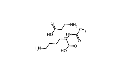 CC(=O)N[C@@H](CCCCN)C(=O)O.NCCC(=O)O